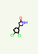 O=C1C[C](c2ccc(Cl)c(Cl)c2)CN1